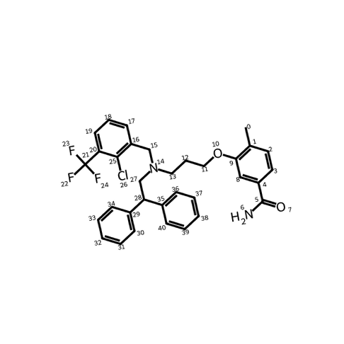 Cc1ccc(C(N)=O)cc1OCCCN(Cc1cccc(C(F)(F)F)c1Cl)CC(c1ccccc1)c1ccccc1